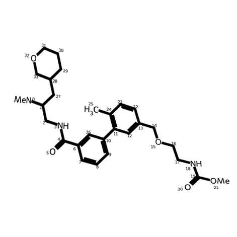 CNC(CNC(=O)c1cccc(-c2cc(COCCNC(=O)OC)ccc2C)c1)CC1CCCOC1